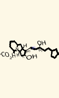 O=C(O)C1CCCC2C[C@@H]3[C@@H](/C=C/[C@H](O)CCC4CCCC4)[C@H](O)C[C@H]3N21